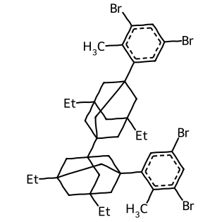 CCC12CC3(CC)CC(c4cc(Br)cc(Br)c4C)(C1)CC(C14CC5(CC)CC(CC)(CC(c6cc(Br)cc(Br)c6C)(C5)C1)C4)(C2)C3